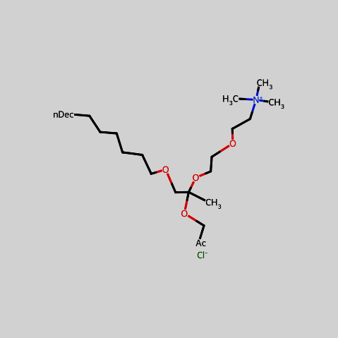 CCCCCCCCCCCCCCCCOCC(C)(OCCOCC[N+](C)(C)C)OCC(C)=O.[Cl-]